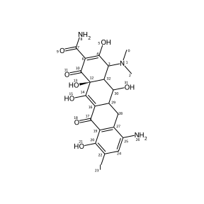 CN(C)C1C(O)=C(C(N)=O)C(=O)[C@@]2(O)C(O)=C3C(=O)c4c(O)c(I)cc(N)c4CC3C(O)C12